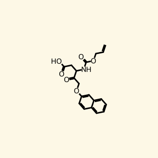 C=CCOC(=O)NC(CC(=O)O)C(=O)COc1ccc2ccccc2c1